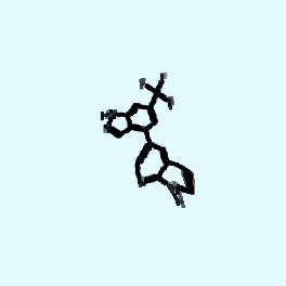 FC(F)(F)c1cc(-c2cnc3[nH]ccc3c2)c2cn[nH]c2c1